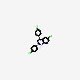 Clc1ccc([C@@H]2C[C@H](c3ccc(Cl)cc3)Nc3ccc(Cl)cc32)cc1